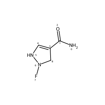 NC(=O)C1=CNN(F)C1